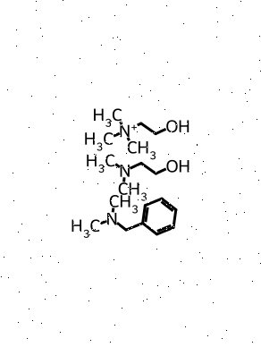 CN(C)CCO.CN(C)Cc1ccccc1.C[N+](C)(C)CCO